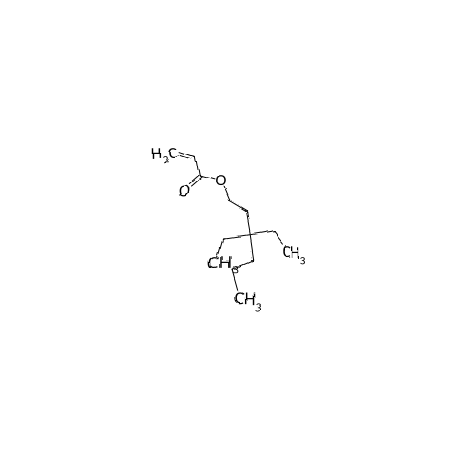 C=CC(=O)OCCC(CC)(CC)CCC